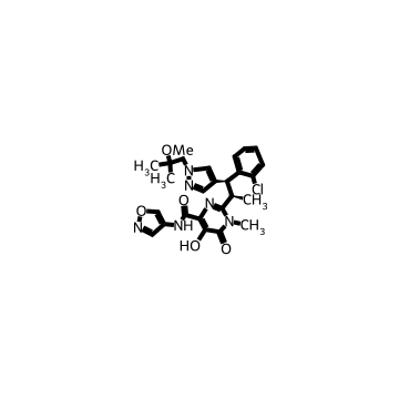 COC(C)(C)Cn1cc([C@@H](c2ccccc2Cl)[C@@H](C)c2nc(C(=O)Nc3cnoc3)c(O)c(=O)n2C)cn1